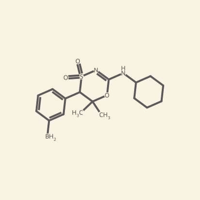 Bc1cccc(C2C(C)(C)OC(NC3CCCCC3)=NS2(=O)=O)c1